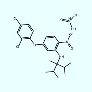 CC(C)C(C)(Nc1cc(Oc2ccc(Cl)cc2Cl)ccc1[N+](=O)[O-])C(C)C.O=[PH](O)O